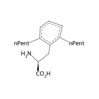 CCCCCc1cccc(CCCCC)c1C[C@H](N)C(=O)O